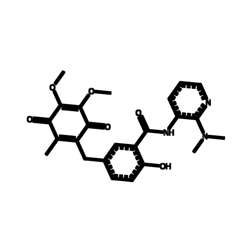 COC1=C(OC)C(=O)C(Cc2ccc(O)c(C(=O)Nc3cccnc3N(C)C)c2)=C(C)C1=O